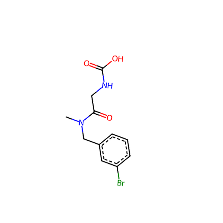 CN(Cc1cccc(Br)c1)C(=O)CNC(=O)O